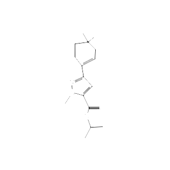 CC(NC(=O)c1cc(C2=CCC(F)(F)CC2)nn1C)C(C)(C)C